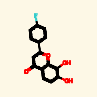 O=c1cc(-c2ccc(F)cc2)oc2c(O)c(O)ccc12